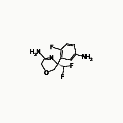 NC1=N[C@](c2cc(N)ccc2F)(C(F)F)COC1